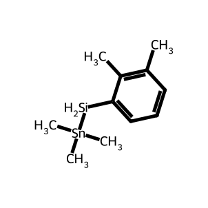 Cc1cccc([SiH2][Sn]([CH3])([CH3])[CH3])c1C